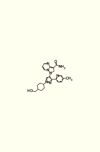 Cc1ccc(-c2nn(C3CCC(CO)CC3)cc2N2CC(C(N)=O)=C3N=CC=CN32)nc1